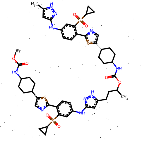 Cc1cc(Nc2ccc(-c3ncc([C@H]4CC[C@H](NC(=O)OC(C)CCc5cc(Nc6ccc(-c7ncc(C8CCC(NC(=O)OC(C)C)CC8)s7)c(S(=O)(=O)C7CC7)c6)n[nH]5)CC4)s3)c(S(=O)(=O)C3CC3)c2)n[nH]1